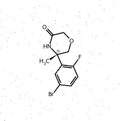 C[C@]1(c2cc(Br)ccc2F)COCC(=O)N1